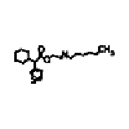 CCCCCCN=CCOC(=O)C(c1ccsc1)C1CCCCC1